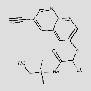 C#Cc1cnc2ccc(OC(CC)C(=O)NC(C)(C)CO)cc2c1